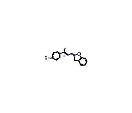 C/C(=C\C=C1/Cc2ccccc2O1)c1ccc(Br)cc1